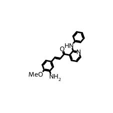 COc1ccc(/C=C/C(=O)c2cccnc2Nc2ccccc2)cc1N